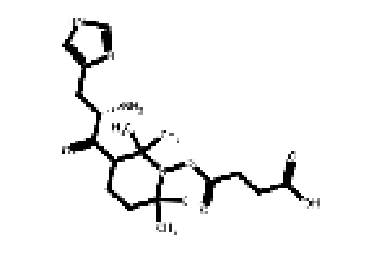 CC1(C)CCC(C(=O)[C@@H](N)Cc2c[nH]cn2)C(C)(C)N1OC(=O)CCC(=O)O